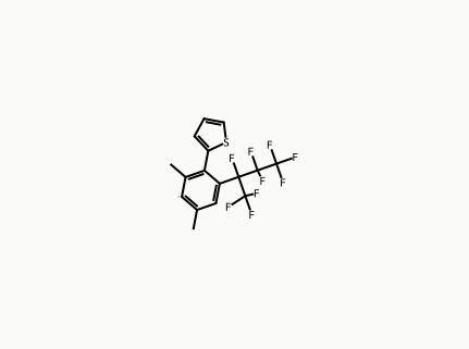 Cc1[c]c(C)c(-c2cccs2)c(C(F)(C(F)(F)F)C(F)(F)C(F)(F)F)c1